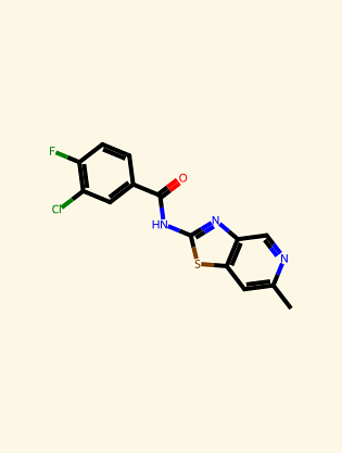 Cc1cc2sc(NC(=O)c3ccc(F)c(Cl)c3)nc2cn1